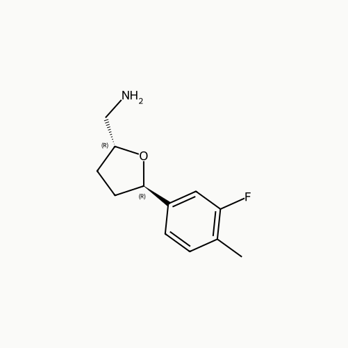 Cc1ccc([C@H]2CC[C@H](CN)O2)cc1F